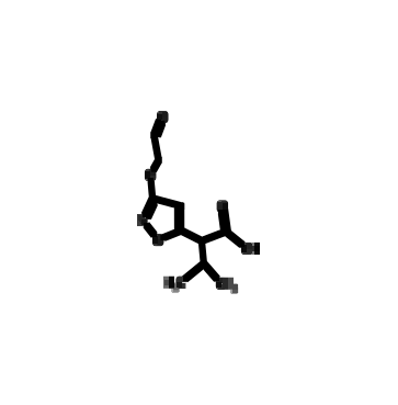 CC(C)C(C(=O)O)c1cc(OCC=O)no1